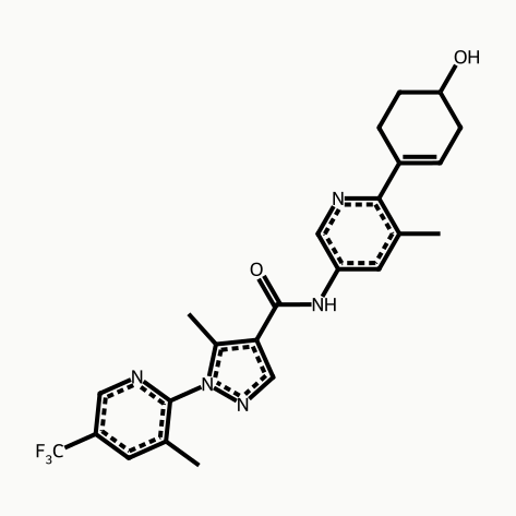 Cc1cc(NC(=O)c2cnn(-c3ncc(C(F)(F)F)cc3C)c2C)cnc1C1=CCC(O)CC1